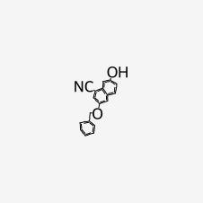 N#Cc1cc(OCc2ccccc2)cc2ccc(O)cc12